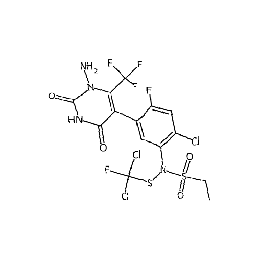 CCS(=O)(=O)N(SC(F)(Cl)Cl)c1cc(-c2c(C(F)(F)F)n(N)c(=O)[nH]c2=O)c(F)cc1Cl